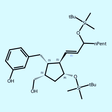 CCCCCC(/C=C/[C@@H]1[C@@H](Cc2cccc(O)c2)[C@@H](CO)C[C@H]1O[Si](C)(C)C(C)(C)C)O[Si](C)(C)C(C)(C)C